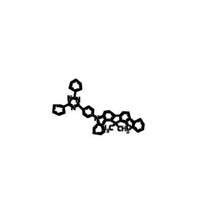 CC1(C)c2c(ccc3c2oc2ccccc23)-c2ccc3c(c21)c1ccccc1n3-c1ccc(-c2nc(-c3ccccc3)nc(-c3ccccc3)n2)cc1